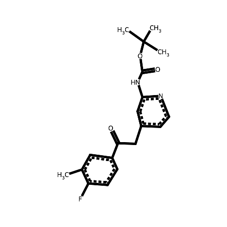 Cc1cc(C(=O)Cc2ccnc(NC(=O)OC(C)(C)C)c2)ccc1F